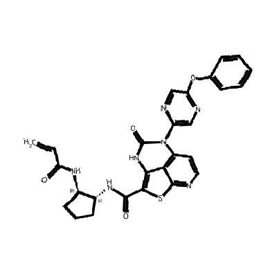 C=CC(=O)N[C@@H]1CCC[C@H]1NC(=O)c1sc2nccc3c2c1NC(=O)N3c1cnc(Oc2ccccc2)cn1